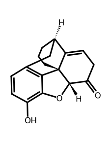 O=C1CC=C2[C@@H]3CCC[C@@]24c2c(ccc(O)c2O[C@@H]14)C3